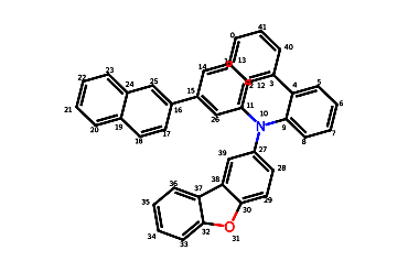 c1ccc(-c2ccccc2N(c2cccc(-c3ccc4ccccc4c3)c2)c2ccc3oc4ccccc4c3c2)cc1